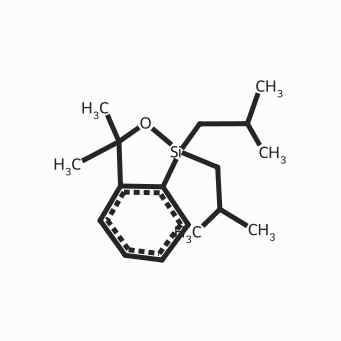 CC(C)C[Si]1(CC(C)C)OC(C)(C)c2ccccc21